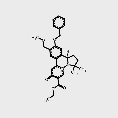 CCOC(=O)c1cn2c(cc1=O)-c1cc(COC)c(OCc3ccccc3)cc1[C@H]1CCC(C)(C)N12